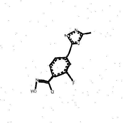 Cc1nnc(-c2ccc(C(Cl)=NO)c(F)c2)o1